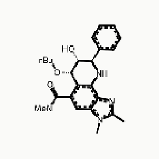 CCCCO[C@H]1c2c(C(=O)NC)cc3c(nc(C)n3C)c2N[C@H](c2ccccc2)[C@H]1O